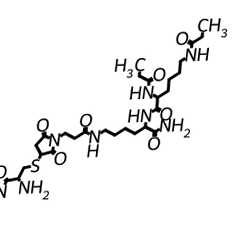 CCC(=O)NCCCCC(NC(=O)CC)C(=O)NC(CCCCNC(=O)CCN1C(=O)CC(SCC(N)C(N)=O)C1=O)C(N)=O